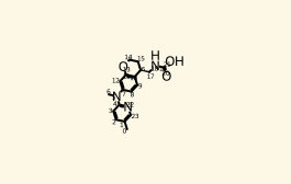 Cc1ccc(N(C)c2ccc3c(c2)OCC[C@H]3CNC(=O)O)nc1